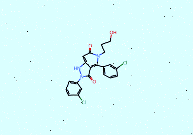 O=c1c2c(-c3cccc(Cl)c3)n(CCCO)c(=O)cc2[nH]n1-c1cccc(Cl)c1